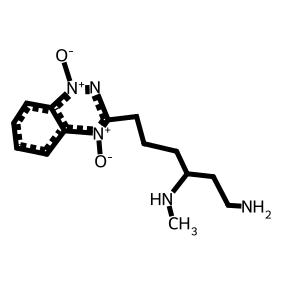 CNC(CCN)CCCc1n[n+]([O-])c2ccccc2[n+]1[O-]